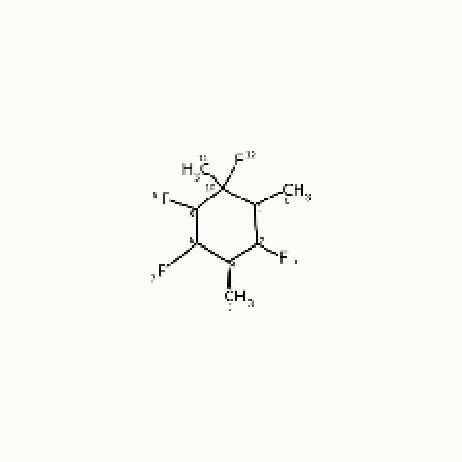 CC1C(F)[C@@H](C)C(F)C(F)C1(C)F